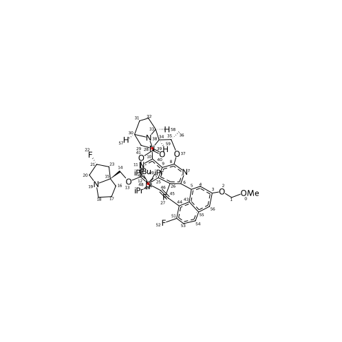 COCOc1cc(-c2nc3c4c(nc(OC[C@@]56CCCN5C[C@H](F)C6)nc4c2F)N2C[C@H]4CC[C@@H]([C@H]2[C@H](C)O3)N4C(=O)OC(C)(C)C)c2c(C#C[Si](C(C)C)(C(C)C)C(C)C)c(F)ccc2c1